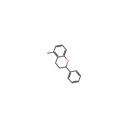 Cc1cccc2c1CCC(c1ccccc1)O2